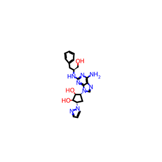 Nc1nc(N[C@H](CO)Cc2ccccc2)nc2c1ncn2[C@@H]1C[C@H](n2cccn2)[C@@H](O)[C@H]1O